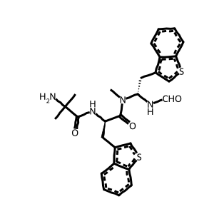 CN(C(=O)[C@@H](Cc1csc2ccccc12)NC(=O)C(C)(C)N)[C@H](Cc1csc2ccccc12)NC=O